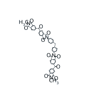 CN1C(=O)c2ccc(C(=O)c3ccc4c(c3)C(=O)N(c3ccc(Cc5ccc(N6C(=O)c7ccc(C(=O)c8ccc9c(c8)C(=O)N(C)C9=O)cc7C6=O)cc5)cc3)C4=O)cc2C1=O